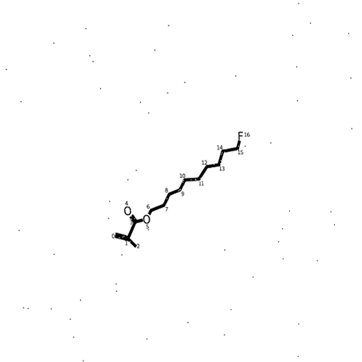 C=C(C)C(=O)OCCCCCCCCCCF